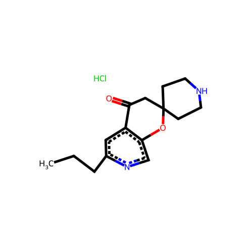 CCCc1cc2c(cn1)OC1(CCNCC1)CC2=O.Cl